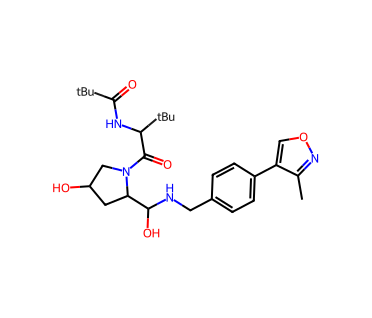 Cc1nocc1-c1ccc(CNC(O)C2CC(O)CN2C(=O)C(NC(=O)C(C)(C)C)C(C)(C)C)cc1